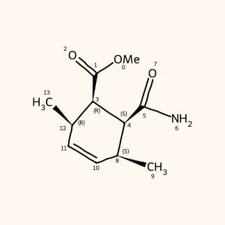 COC(=O)[C@H]1[C@@H](C(N)=O)[C@@H](C)C=C[C@H]1C